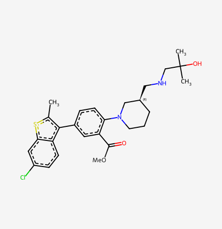 COC(=O)c1cc(-c2c(C)sc3cc(Cl)ccc23)ccc1N1CCC[C@H](CNCC(C)(C)O)C1